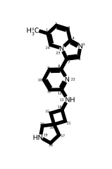 Cc1ccc2ncc(-c3cccc(NC4CC5(CCNC5)C4)n3)n2c1